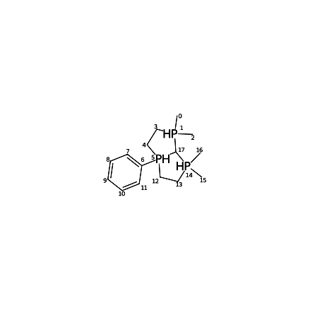 C[PH]1(C)CC[PH]2(c3ccccc3)CC[PH](C)(C)C12